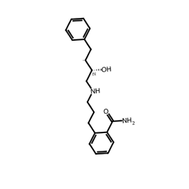 NC(=O)c1ccccc1CCCNC[C@@H](O)[CH]Cc1ccccc1